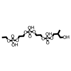 CCOP(=O)(O)OCCOP(=O)(O)OCCOP(=O)(O)OCC(C)CO